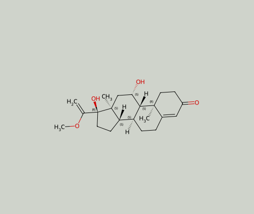 C=C(OC)[C@@]1(O)CC[C@H]2[C@@H]3CCC4=CC(=O)CC[C@]4(C)[C@H]3[C@@H](O)C[C@@]21C